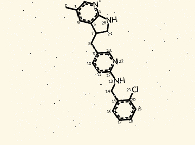 Cc1cnc2c(c1)C(Cc1ccc(NCc3ccccc3Cl)nc1)CN2